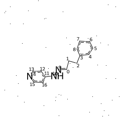 C(CCc1ccccc1)=NNc1ccncc1